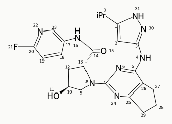 CC(C)c1cc(Nc2nc(N3C[C@@H](O)C[C@@H]3C(=O)Nc3ccc(F)nc3)nc3c2CCC3)n[nH]1